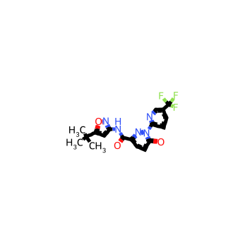 CC(C)(C)c1cc(NC(=O)c2ccc(=O)n(-c3ccc(C(F)(F)F)cn3)n2)no1